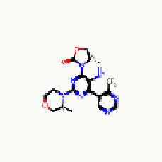 C[C@H]1COCCN1c1nc(-c2cncnc2C(F)(F)F)c(N)c(N2C(=O)OC[C@@H]2C)n1